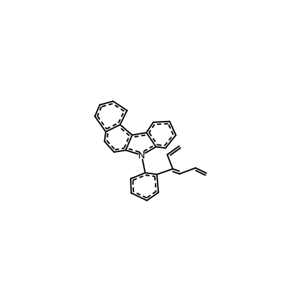 C=C/C=C(\C=C)c1ccccc1-n1c2ccccc2c2c3ccccc3ccc21